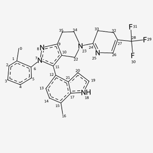 Cc1ccccc1-n1nc2c(c1-c1ccc(C)c3[nH]ccc13)CN(C1=NC=C(C(F)(F)F)CC1)CC2